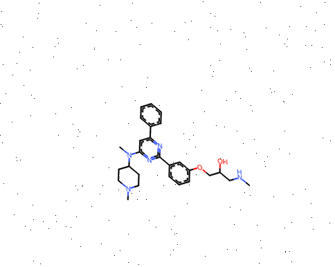 CNCC(O)COc1cccc(-c2nc(-c3ccccc3)cc(N(C)C3CCN(C)CC3)n2)c1